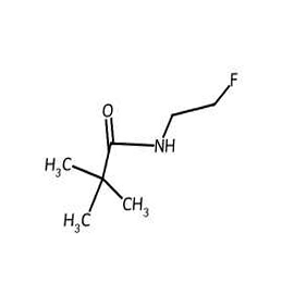 CC(C)(C)C(=O)NCCF